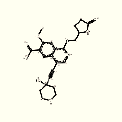 CC(C)Oc1cc2c(OCC3CCC(=O)N3)ncc(C#CC3(O)CCOCC3)c2cc1C(N)=O